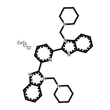 [Cl-].[Cl-].[Co+2].c1cc(-c2nc3ccccc3n2CN2CCCCC2)nc(-c2nc3ccccc3n2CN2CCCCC2)c1